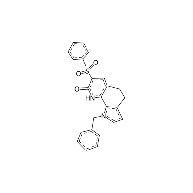 O=c1[nH]c2c(cc1S(=O)(=O)c1ccccc1)CCc1ccn(Cc3ccccc3)c1-2